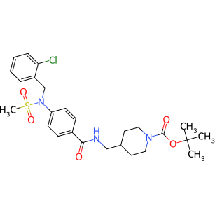 CC(C)(C)OC(=O)N1CCC(CNC(=O)c2ccc(N(Cc3ccccc3Cl)S(C)(=O)=O)cc2)CC1